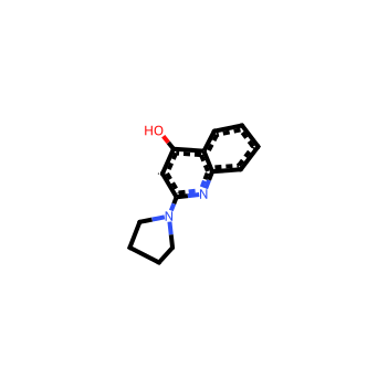 Oc1[c]c(N2CCCC2)nc2ccccc12